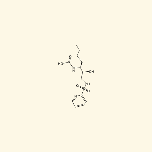 CCCC[C@H](NC(=O)O)[C@@H](O)CNS(=O)(=O)c1ccccn1